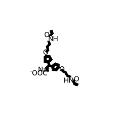 C=CC(=O)NCCCCOc1ccc(C(CCC(=O)[O-])c2ccc(OCCCCNC(=O)C=C)cc2)cc1.[Na+]